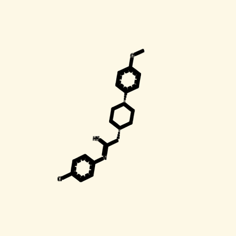 COc1ccc([C@H]2CC[C@@H](CC(S)=Nc3ccc(Cl)cc3)CC2)cc1